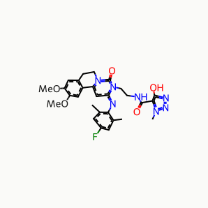 COc1cc2c(cc1OC)-c1cc(=Nc3c(C)cc(F)cc3C)n(CCNC(=O)c3c(O)nnn3C)c(=O)n1CC2